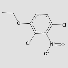 CCOc1ccc(Cl)c([N+](=O)[O-])c1Cl